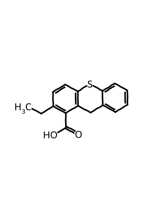 CCc1ccc2c(c1C(=O)O)Cc1ccccc1S2